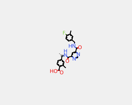 Cc1cc(CNC(=O)c2cc(C(=O)N[C@@H](C)c3ccc(C(=O)O)c(C)c3)ncn2)ccc1F